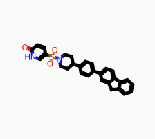 O=c1ccc(S(=O)(=O)N2CCC(c3ccc(-c4ccc5c(c4)Cc4ccccc4-5)cc3)CC2)c[nH]1